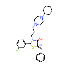 O=C1/C(=C/c2ccccc2)SC(c2cccc(F)c2)N1CCCN1CCN(C2CCCCC2)CC1